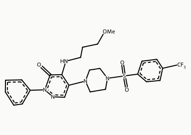 COCCCNc1c(N2CCN(S(=O)(=O)c3ccc(C(F)(F)F)cc3)CC2)cnn(-c2ccccc2)c1=O